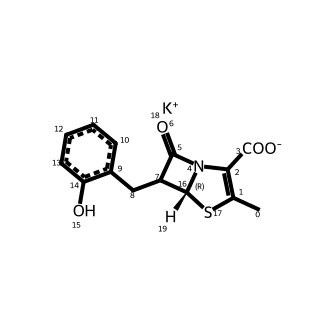 CC1=C(C(=O)[O-])N2C(=O)C(Cc3ccccc3O)[C@H]2S1.[K+]